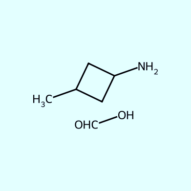 CC1CC(N)C1.O=CO